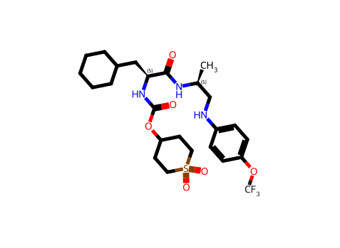 C[C@@H](CNc1ccc(OC(F)(F)F)cc1)NC(=O)[C@H](CC1CCCCC1)NC(=O)OC1CCS(=O)(=O)CC1